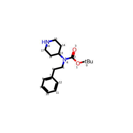 CC(C)(C)OC(=O)N(CCc1ccccc1)C1CCNCC1